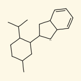 CC1CCC(C(C)C)C(C2[C]C3C=CC=CC3C2)C1